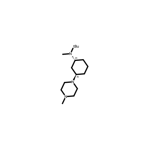 CN1CCN([C@@H]2CCC[C@@H](N(C)C(C)(C)C)C2)CC1